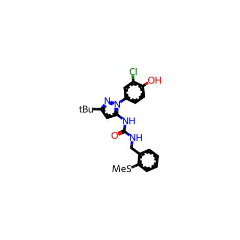 CSc1ccccc1CNC(=O)Nc1cc(C(C)(C)C)nn1-c1ccc(O)c(Cl)c1